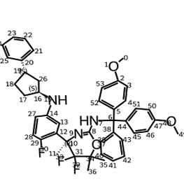 COc1ccc(C(NC2=N[C@](C)(c3cc(N[C@H]4CC[C@H](c5ccccc5)C4)ccc3F)C(F)(F)C(C)(C)O2)(c2ccccc2)c2ccc(OC)cc2)cc1